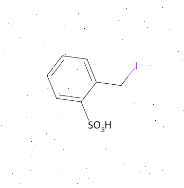 O=S(=O)(O)c1ccccc1CI